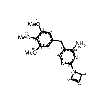 COc1cc(Cc2cnc(N3C=CC3)nc2N)cc(OC)c1OC